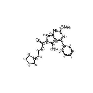 CSc1nc(-c2ccccc2)c2c(N)c(C(=O)OCCN3CCCC3)sc2n1